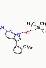 COc1ccccc1-c1cn(COCC[Si](C)(C)C)c2nc(N)ccc12